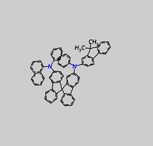 CC1(C)c2ccccc2-c2ccc(N(c3ccccc3)c3ccc4c(c3)C3(c5ccccc5-c5cc(N(c6ccccc6)c6cccc7ccccc67)ccc53)c3ccccc3-4)cc21